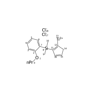 CCCOc1ccccc1[Si](C)(C)C1=[C]([Ti+2])CC=C1.[Cl-].[Cl-]